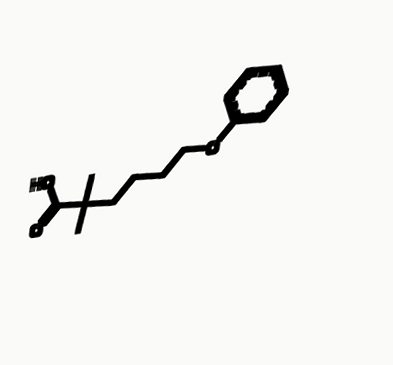 CC(C)(CCCCOc1ccccc1)C(=O)O